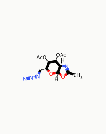 CC(=O)O[C@@H]1[C@H]2N=C(C)O[C@H]2O[C@H](CN=[N+]=[N-])[C@@H]1OC(C)=O